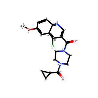 COc1ccc2ncc(C(=O)N3CCN(C(=O)C4CC4)CC3)c(Cl)c2c1